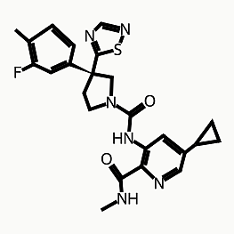 CNC(=O)c1ncc(C2CC2)cc1NC(=O)N1CC[C@](c2ccc(C)c(F)c2)(c2ncns2)C1